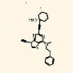 C#Cn1cnc2c(N(C)CCc3ccccc3)nc(C#C[C@]3(O)CCC[C@@H](C)C3)nc21